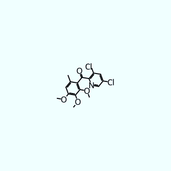 COc1cc(C)c(C(=O)c2ncc(Cl)cc2Cl)c(OC)c1OC